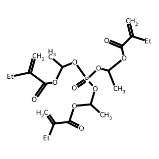 C=C(CC)C(=O)OC(C)OP(=O)(OC(C)OC(=O)C(=C)CC)OC(C)OC(=O)C(=C)CC